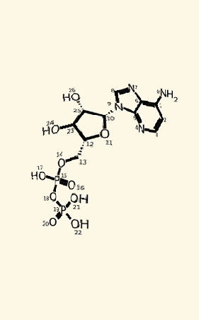 Nc1ccnc2c1ncn2[C@@H]1O[C@H](COP(=O)(O)OP(=O)(O)O)C(O)[C@@H]1O